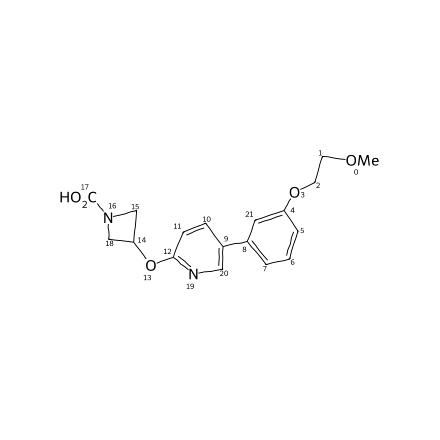 COCCOc1cccc(-c2ccc(OC3CN(C(=O)O)C3)nc2)c1